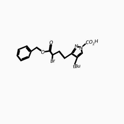 CC(C)(C)c1cn(C(=O)O)nc1CCC(Br)C(=O)OCc1ccccc1